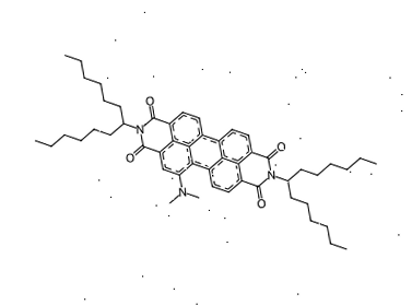 CCCCCCC(CCCCCC)N1C(=O)c2ccc3c4ccc5c6c(cc(N(C)C)c(c7ccc(c2c37)C1=O)c64)C(=O)N(C(CCCCCC)CCCCCC)C5=O